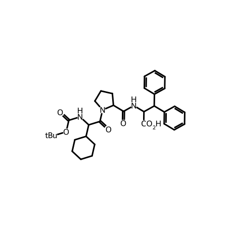 CC(C)(C)OC(=O)NC(C(=O)N1CCCC1C(=O)NC(C(=O)O)C(c1ccccc1)c1ccccc1)C1CCCCC1